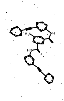 C=C(Nc1cccc(C#Cc2ccccc2)c1)c1cc(N)cc(C(=O)Nc2cccc(C#Cc3ccccc3)c2)c1